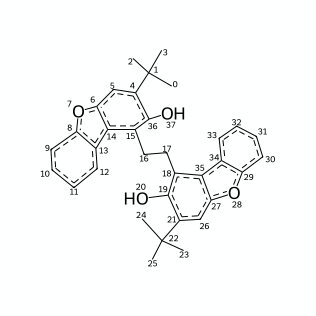 CC(C)(C)c1cc2oc3ccccc3c2c(CCc2c(O)c(C(C)(C)C)cc3oc4ccccc4c23)c1O